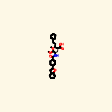 COC(OC)[C@H](C[C@H](CCCc1ccccc1)C(=O)O)NC(=O)c1ccc(-c2cc3ccccc3o2)cc1